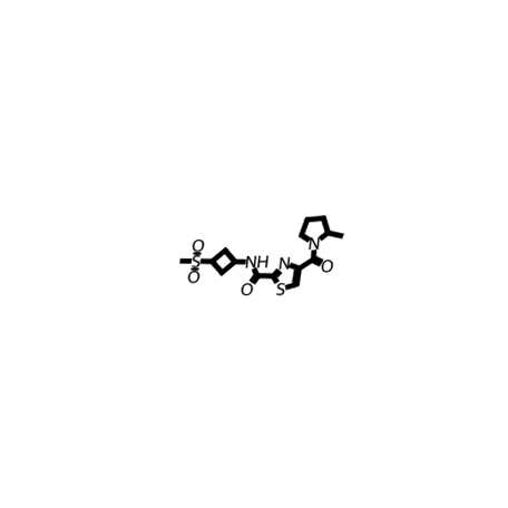 CC1CCCN1C(=O)c1csc(C(=O)NC2CC(S(C)(=O)=O)C2)n1